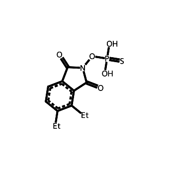 CCc1ccc2c(c1CC)C(=O)N(OP(O)(O)=S)C2=O